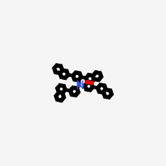 c1cc(-c2cccc3ccccc23)cc(N(c2ccc(-c3ccc4ccccc4c3)cc2)c2cc(-c3ccc4ccccc4c3)ccc2-c2ccc3ccccc3c2)c1